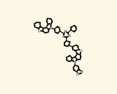 c1ccc(-c2nc(-c3ccc(-n4c5ccccc5c5c6c(ccc54)oc4ccccc46)cc3)nc(-c3cccc(-c4ccc5oc6ccc7c(c8ccccc8n7-c7ccc8ocnc8c7)c6c5c4)c3)n2)cc1